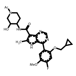 COc1cc(-c2ncnc3c(C(=O)NC4CCN(C(C)=O)CC4O)c(C)[nH]c23)c(OCC2CC2)cc1F